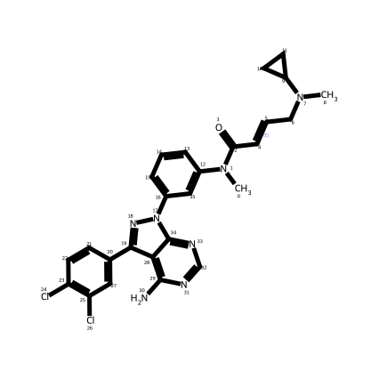 CN(C(=O)/C=C/CN(C)C1CC1)c1cccc(-n2nc(-c3ccc(Cl)c(Cl)c3)c3c(N)ncnc32)c1